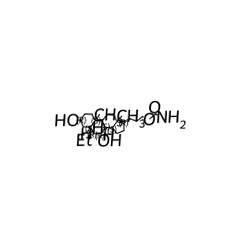 CC[C@H]1[C@@H](O)[C@@H]2C(CCC3(C)[C@@H](CCCOC(N)=O)CC[C@@H]23)[C@@]2(C)CC[C@@H](O)C[C@@H]12